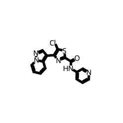 O=C(Nc1cccnc1)c1nc(-c2cnn3ccccc23)c(Cl)s1